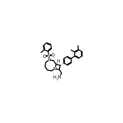 Cc1ccccc1S(=O)(=O)N1CCCCN2C(CN)[C@@H](c3ccc(-c4cccc(C)c4C)cc3)[C@@H]2C1